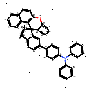 c1ccc(N(c2ccccc2)c2ccc(-c3ccc4c(c3)C3(c5ccccc5Oc5ccc6ccccc6c53)c3ccccc3-4)cc2)cc1